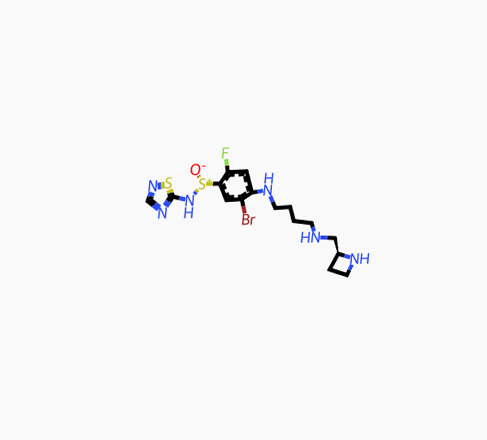 [O-][S+](Nc1ncns1)c1cc(Br)c(NCCCCNC[C@@H]2CCN2)cc1F